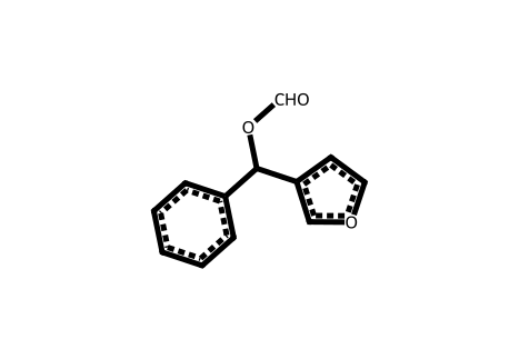 O=COC(c1ccccc1)c1ccoc1